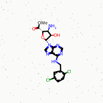 COC(=O)[C@H]1O[C@@H](n2cnc3c(NCc4cc(Cl)ccc4Cl)ncnc32)[C@H](O)[C@@H]1N